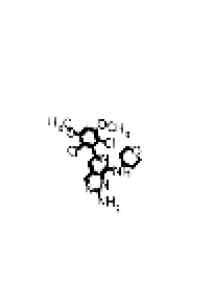 COc1cc(OC)c(Cl)c(-c2cc3cnc(N)nc3c(NC3CCOCC3)n2)c1Cl